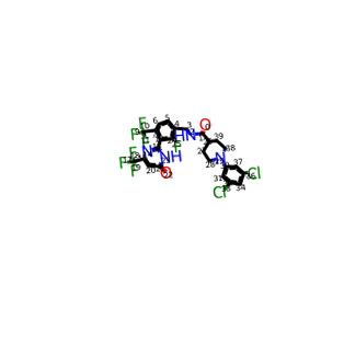 O=C(NCc1ccc(C(F)(F)F)c(-c2nc(C(F)(F)F)cc(=O)[nH]2)c1F)C1CCN(c2cc(Cl)cc(Cl)c2)CC1